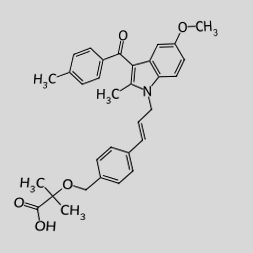 COc1ccc2c(c1)c(C(=O)c1ccc(C)cc1)c(C)n2CC=Cc1ccc(COC(C)(C)C(=O)O)cc1